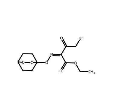 CCOC(=O)C(=NOC12CCC(CC1)CC2)C(=O)CBr